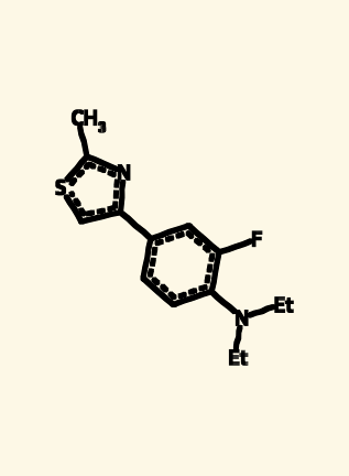 CCN(CC)c1ccc(-c2csc(C)n2)cc1F